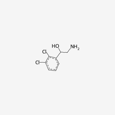 NCC(O)c1cccc(Cl)c1Cl